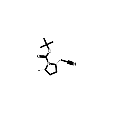 C[C@H]1CC[C@@H](CC#N)N1C(=O)OC(C)(C)C